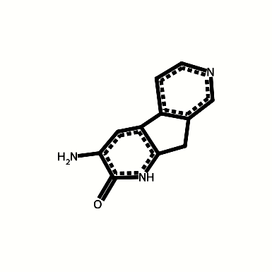 Nc1cc2c([nH]c1=O)Cc1cnccc1-2